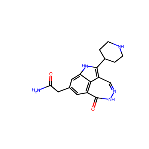 NC(=O)Cc1cc2c3c(c(C4CCNCC4)[nH]c3c1)C=NNC2=O